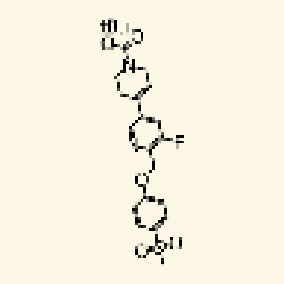 CC(C)(C)OC(=O)N1CC=C(c2cnc(COc3ccc(S(C)(=O)=O)cc3)c(F)c2)CC1